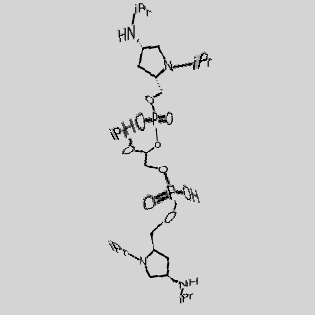 CC(C)N[C@@H]1C[C@H](COP(=O)(O)OCC(OC(C)C)OP(=O)(O)OC[C@@H]2C[C@H](NC(C)C)CN2C(C)C)N(C(C)C)C1